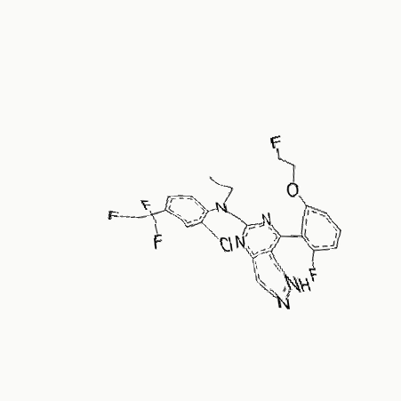 CCN(c1nc(-c2c(F)cccc2OCCF)c2[nH]ncc2n1)c1ccc(C(F)(F)F)cc1Cl